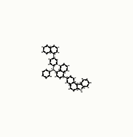 c1ccc(N(c2ccc(-c3cccc4ccccc34)cc2)c2ccc(-c3ccc4c(ccc5oc6ccccc6c54)c3)c3ccccc23)cc1